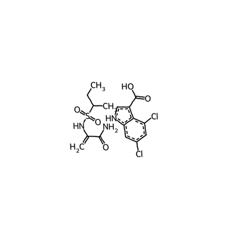 C=C(NS(=O)(=O)C(C)CC)C(N)=O.O=C(O)c1c[nH]c2cc(Cl)cc(Cl)c12